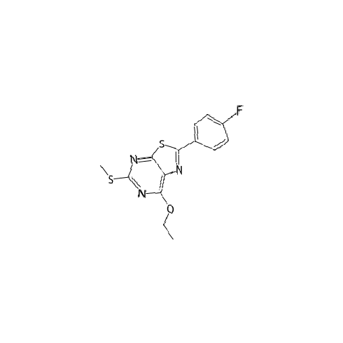 CCOc1nc(SC)nc2sc(-c3ccc(F)cc3)nc12